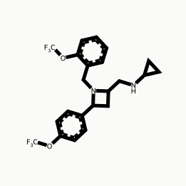 FC(F)(F)Oc1ccc(C2CC(CNC3CC3)N2Cc2ccccc2OC(F)(F)F)cc1